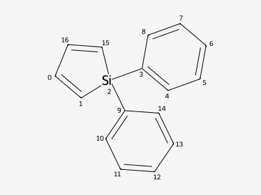 C1=C[Si](c2ccccc2)(c2ccccc2)C=C1